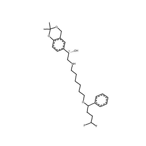 CC1(C)OCc2cc([C@H](O)CNCCCCCCOC(CCC(F)F)c3ccccc3)ccc2O1